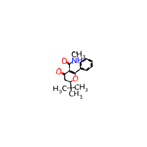 CNC(=O)C1=C(c2ccccc2)OC(C(C)(C)C)CC1=O